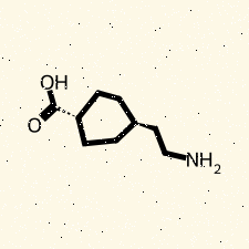 NCC[C@H]1CC[C@H](C(=O)O)CC1